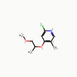 COCC(C)Oc1cc(Cl)ncc1C